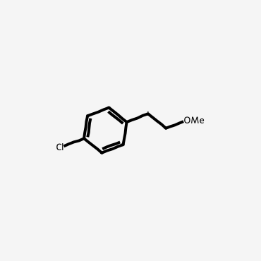 COC[CH]c1ccc(Cl)cc1